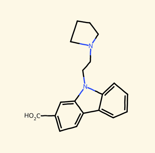 O=C(O)c1ccc2c3ccccc3n(CCN3CCCC3)c2c1